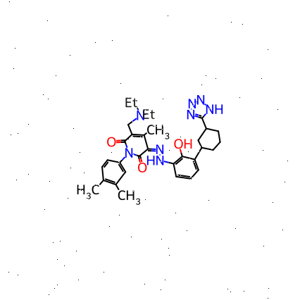 CCN(CC)CC1=C(C)C(=NNc2cccc(C3CCCC(c4nnn[nH]4)C3)c2O)C(=O)N(c2ccc(C)c(C)c2)C1=O